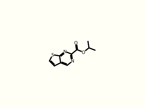 CC(C)OC(=O)c1ncc2ccsc2n1